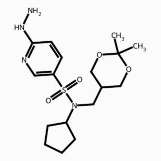 CC1(C)OCC(CN(C2CCCC2)S(=O)(=O)c2ccc(NN)nc2)CO1